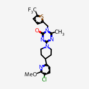 COc1nc(C2CCN(c3nc(C)n(Cc4ccc(C(F)(F)F)s4)c(=O)n3)CC2)ccc1Cl